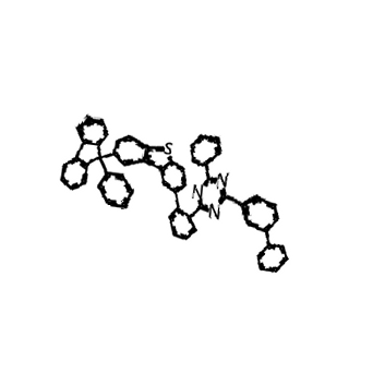 c1ccc(-c2cccc(-c3nc(-c4ccccc4)nc(-c4ccccc4-c4ccc5sc6ccc(C7(c8ccccc8)c8ccccc8-c8ccccc87)cc6c5c4)n3)c2)cc1